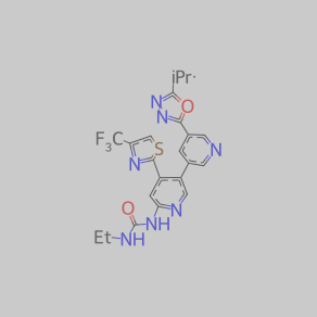 CCNC(=O)Nc1cc(-c2nc(C(F)(F)F)cs2)c(-c2cncc(-c3nnc([C](C)C)o3)c2)cn1